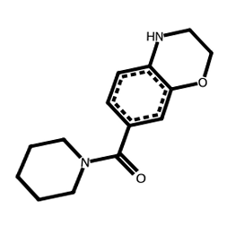 O=C(c1ccc2c(c1)OCCN2)N1CCCCC1